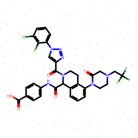 O=C(O)c1ccc(NC(=O)C2c3cccc(N4CCN(CC(F)(F)F)CC4=O)c3CCN2C(=O)c2cn(-c3cccc(Cl)c3F)nn2)cc1